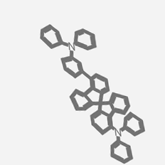 c1ccc(N(c2ccccc2)c2cccc(-c3cccc4c3-c3ccccc3C43c4ccccc4-c4c(N(c5ccccc5)c5ccccc5)cccc43)c2)cc1